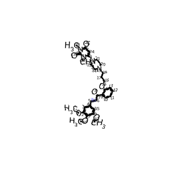 COc1cc(/C=C/C(=O)c2ccccc2OCCCN2CCN(c3cc(=O)n(C)c(=O)n3C)CC2)cc(OC)c1OC